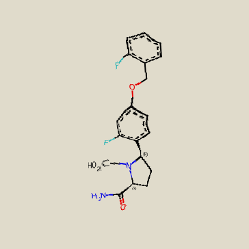 NC(=O)[C@@H]1CC[C@H](c2ccc(OCc3ccccc3F)cc2F)N1C(=O)O